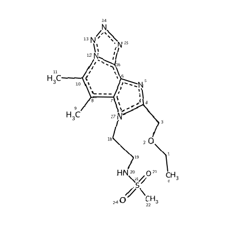 CCOCc1nc2c(c(C)c(C)n3nnnc23)n1CCNS(C)(=O)=O